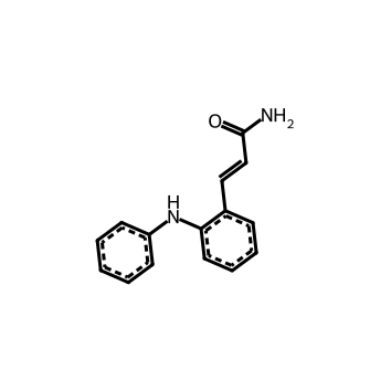 NC(=O)C=Cc1ccccc1Nc1ccccc1